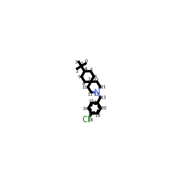 CC(C)(C)C1CCC2(CC1)CCN(Cc1ccc(Cl)cc1)CC2